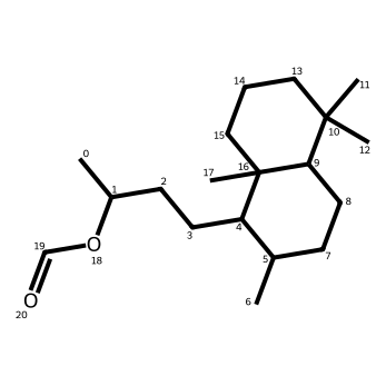 CC(CCC1C(C)CCC2C(C)(C)CCCC12C)OC=O